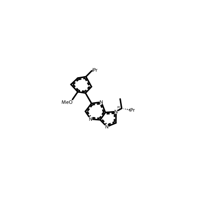 COc1ccc(C(C)C)cc1-c1cnc2ncn([C@H](C)C(C)C)c2n1